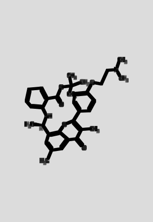 Cc1cc([C@@H](C)Nc2ccccc2C(=O)OC(C)(C)C)c2oc(-c3ccc(OCCN(C)C)cc3)c(C)c(=O)c2c1